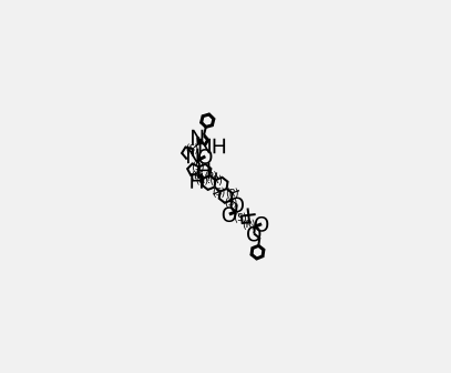 C[C@@H]1C2CC[C@]3(C)C(CC[C@@H]4[C@H]5CCC[C@]5(C(=O)N5CCC[C@H]5c5nc(-c6ccccc6)c[nH]5)CC[C@]43C)[C@@]2(C)CC[C@@H]1OC(=O)[C@H]1C[C@@H](C(=O)OCc2ccccc2)C1(C)C